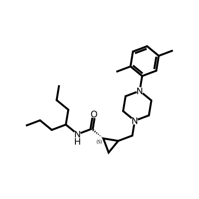 CCCC(CCC)NC(=O)[C@H]1CC1CN1CCN(c2cc(C)ccc2C)CC1